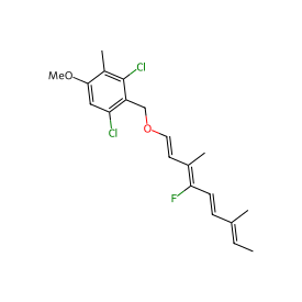 C/C=C(C)/C=C/C(F)=C(C)/C=C/OCc1c(Cl)cc(OC)c(C)c1Cl